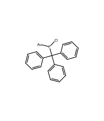 Cl[P]([Au])C(c1ccccc1)(c1ccccc1)c1ccccc1